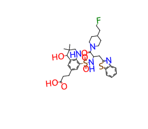 CC1(C)CNc2c(cc(CCC(=O)O)cc2S(=O)(=O)NC(Cc2nc3ccccc3s2)C(=O)N2CCC(CCF)CC2)C1O